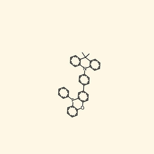 CC1(C)c2ccccc2N(c2ccc(-c3ccc4c(c3)P(c3ccccc3)c3ccccc3O4)cc2)c2ccccc21